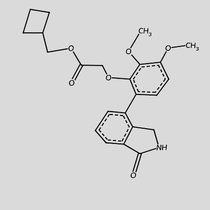 COc1ccc(-c2cccc3c2CNC3=O)c(OCC(=O)OCC2CCC2)c1OC